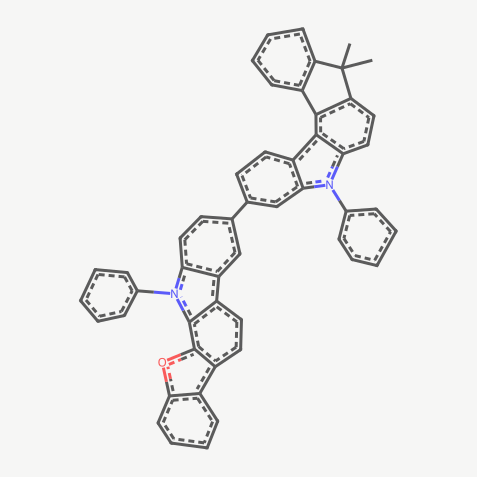 CC1(C)c2ccccc2-c2c1ccc1c2c2ccc(-c3ccc4c(c3)c3ccc5c6ccccc6oc5c3n4-c3ccccc3)cc2n1-c1ccccc1